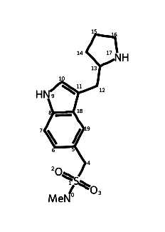 CNS(=O)(=O)Cc1ccc2[nH]cc(CC3CCCN3)c2c1